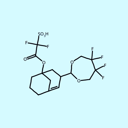 O=C(OC12CCCC(=CC(C3OCC(F)(F)C(F)(F)CO3)C1)C2)C(F)(F)S(=O)(=O)O